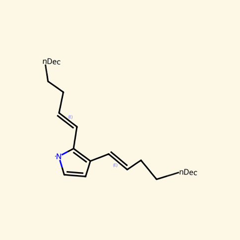 CCCCCCCCCCCC/C=C/C1=C(/C=C/CCCCCCCCCCCC)[N]C=C1